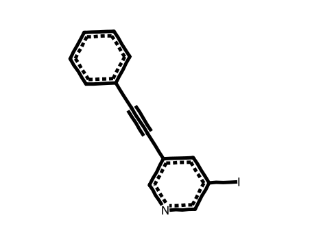 Ic1cncc(C#Cc2ccccc2)c1